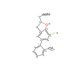 CNCC1Cc2cc(-c3ccccc3C)cc(F)c2O1